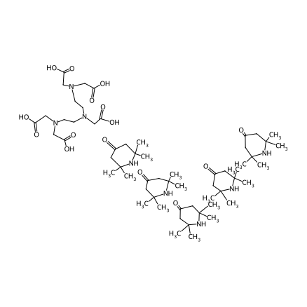 CC1(C)CC(=O)CC(C)(C)N1.CC1(C)CC(=O)CC(C)(C)N1.CC1(C)CC(=O)CC(C)(C)N1.CC1(C)CC(=O)CC(C)(C)N1.CC1(C)CC(=O)CC(C)(C)N1.O=C(O)CN(CCN(CC(=O)O)CC(=O)O)CCN(CC(=O)O)CC(=O)O